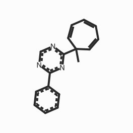 CC1(c2ncnc(-c3ccccc3)n2)C=CC=CC=C1